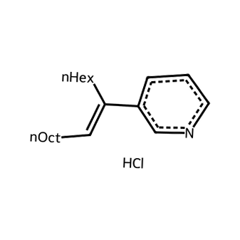 CCCCCCCCC=C(CCCCCC)c1cccnc1.Cl